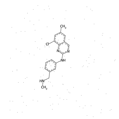 CNCc1cccc(Nc2ncc3cc(C)cc(Cl)c3n2)c1